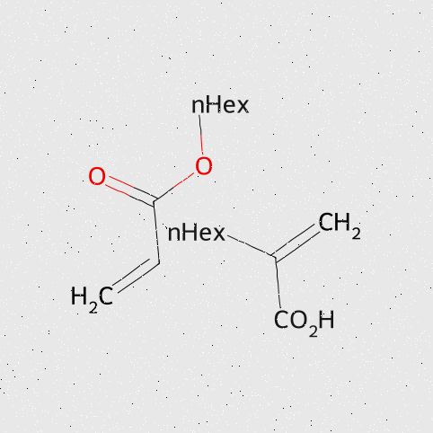 C=C(CCCCCC)C(=O)O.C=CC(=O)OCCCCCC